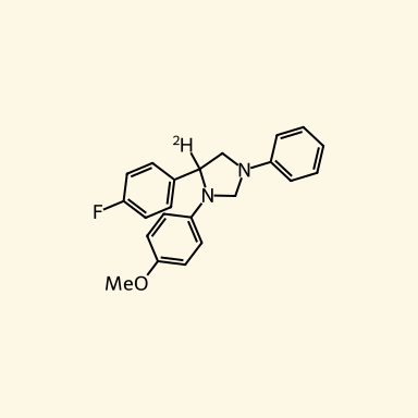 [2H]C1(c2ccc(F)cc2)CN(c2ccccc2)CN1c1ccc(OC)cc1